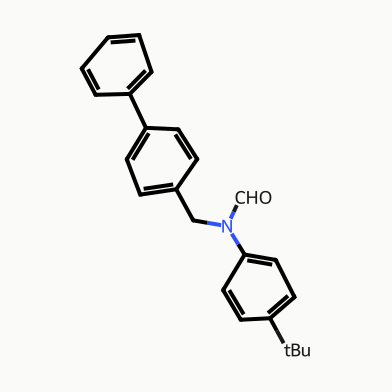 CC(C)(C)c1ccc(N(C=O)Cc2ccc(-c3ccccc3)cc2)cc1